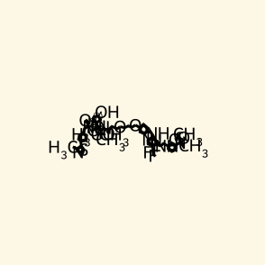 Cc1ncsc1-c1ccc(CNC(=O)[C@@H]2C[C@@H](O)CN2C(=O)C(NC(=O)CCOCCCOc2ccc(Nc3ncc(C(F)(F)F)c(NCc4cccc(N(C)S(C)(=O)=O)c4)n3)cc2)C(C)(C)C)cc1